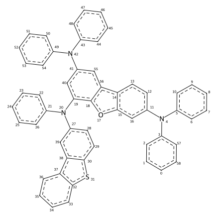 c1ccc(N(c2ccccc2)c2ccc3c(c2)oc2c(N(c4ccccc4)c4ccc5sc6ccccc6c5c4)cc(N(c4ccccc4)c4ccccc4)cc23)cc1